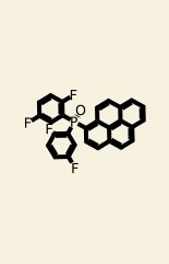 O=P(c1cc(F)ccc1F)(c1cc(F)ccc1F)c1ccc2ccc3cccc4ccc1c2c34